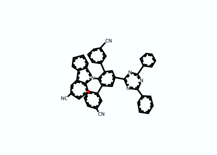 N#Cc1cccc(-c2cc(-c3nc(-c4ccccc4)nc(-c4ccccc4)n3)cc(-c3cccc(C#N)c3)c2-n2c3ccccc3c3cc(C#N)ccc32)c1